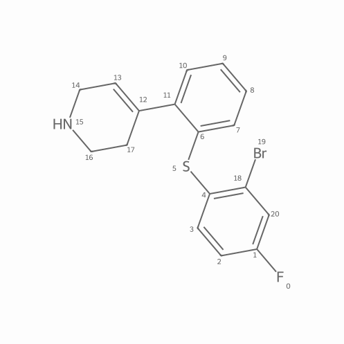 Fc1ccc(Sc2ccccc2C2=CCNCC2)c(Br)c1